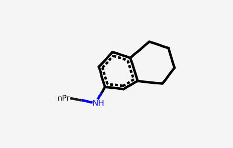 CCCNc1ccc2c(c1)CCCC2